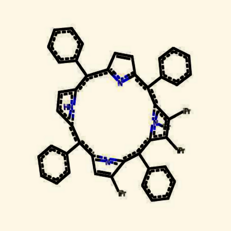 CC(C)C1=Cc2nc1c(-c1ccccc1)c1c(C(C)C)c(C(C)C)c(c(-c3ccccc3)c3nc(c(-c4ccccc4)c4ccc([nH]4)c2-c2ccccc2)C=C3)n1C(C)C